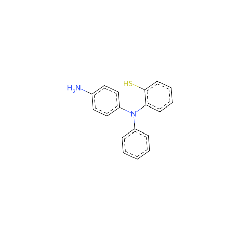 Nc1ccc(N(c2ccccc2)c2ccccc2S)cc1